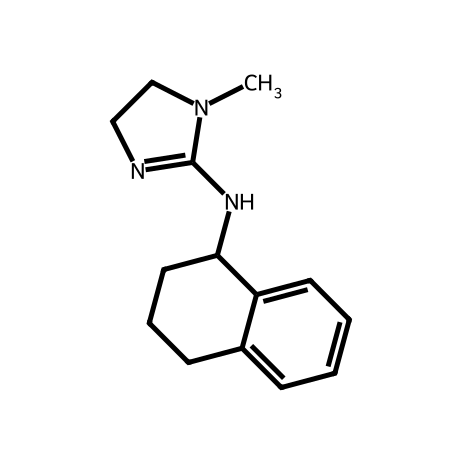 CN1CCN=C1NC1CCCc2ccccc21